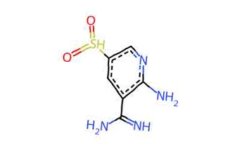 N=C(N)c1cc([SH](=O)=O)cnc1N